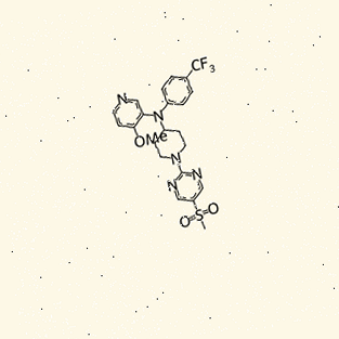 COc1ccncc1N(c1ccc(C(F)(F)F)cc1)C1CCN(c2ncc(S(C)(=O)=O)cn2)CC1